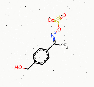 O=[SH](=O)ON=C(c1ccc(CO)cc1)C(F)(F)F